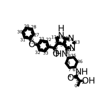 CC(O)C(=O)NC1CCC(Nc2ncnc3[nH]cc(C(=O)c4ccc(Oc5ccccc5)cc4)c23)CC1